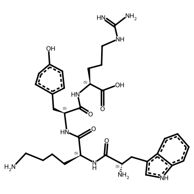 N=C(N)NCCC[C@H](NC(=O)[C@H](Cc1ccc(O)cc1)NC(=O)[C@H](CCCCN)NC(=O)[C@@H](N)Cc1c[nH]c2ccccc12)C(=O)O